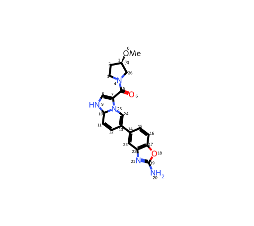 CO[C@@H]1CCN(C(=O)C2=CNC3C=CC(c4ccc5oc(N)nc5c4)=CN23)C1